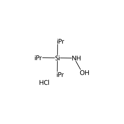 CC(C)[Si](NO)(C(C)C)C(C)C.Cl